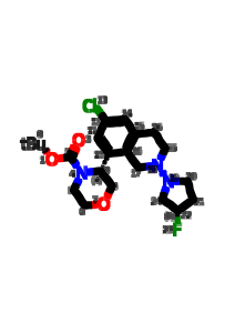 CC(C)(C)OC(=O)N1CCOC[C@H]1c1cc(Cl)cc2c1CN(N1CC[C@@H](F)C1)CC2